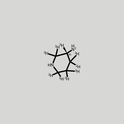 [2H]C1([2H])NC([2H])([2H])[C@]([2H])(N)C([2H])([2H])C1([2H])[2H]